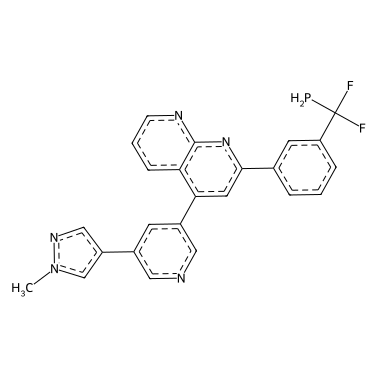 Cn1cc(-c2cncc(-c3cc(-c4cccc(C(F)(F)P)c4)nc4ncccc34)c2)cn1